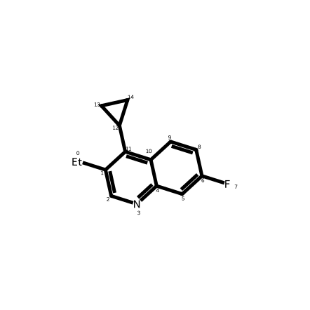 CCc1cnc2cc(F)ccc2c1C1CC1